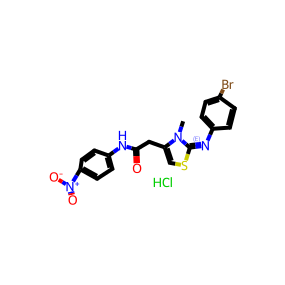 Cl.Cn1c(CC(=O)Nc2ccc([N+](=O)[O-])cc2)cs/c1=N/c1ccc(Br)cc1